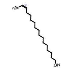 CCCC/C=C\CCCCCCCCCCCCCCO